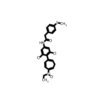 CC[S+]([O-])C1=CCC=C(c2c(Cl)cc(NC(=O)Cc3ccc(SC)cc3)cc2Cl)C=C1